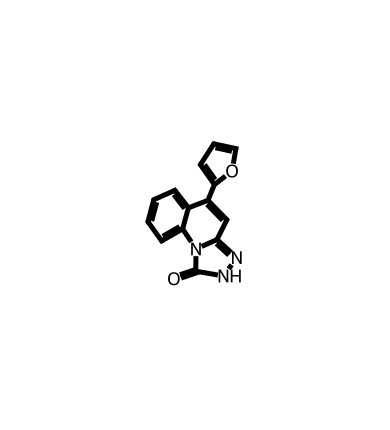 O=c1[nH]nc2cc(-c3ccco3)c3ccccc3n12